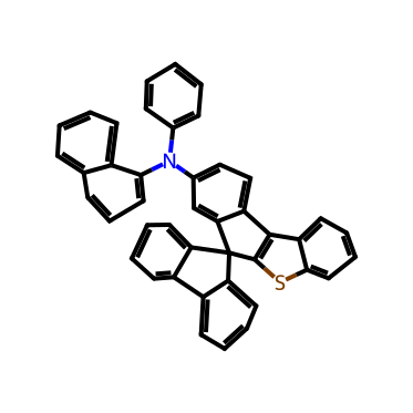 c1ccc(N(c2ccc3c(c2)C2(c4ccccc4-c4ccccc42)c2sc4ccccc4c2-3)c2cccc3ccccc23)cc1